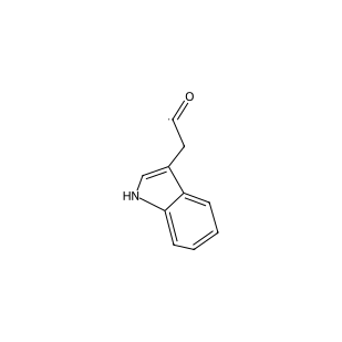 O=[C]Cc1c[nH]c2ccccc12